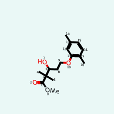 COC(=O)C(C)(C)C(O)CCOc1cc(C)ccc1C